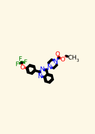 CCOC(=O)N1CCN(c2nc(-c3ccc(OC(F)(F)F)cc3)nc3ccccc23)CC1